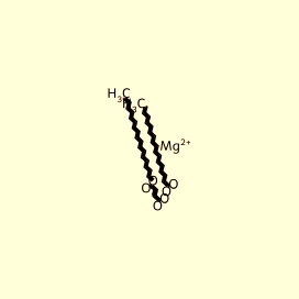 CCCCCCCCCCCCCCCCCC(=O)[O-].CCCCCCCCCCCCCCCCCCOC(=O)/C=C/C(=O)[O-].[Mg+2]